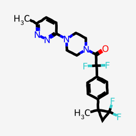 Cc1ccc(N2CCN(C(=O)C(F)(F)c3ccc(C4(C)CC4(F)F)cc3)CC2)nn1